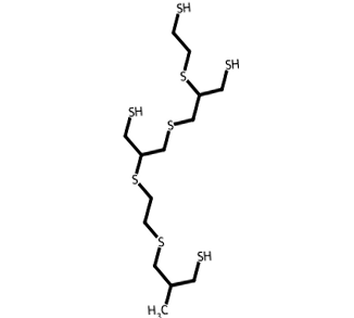 CC(CS)CSCCSC(CS)CSCC(CS)SCCS